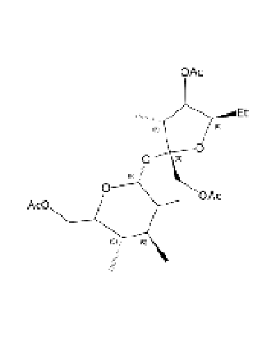 CC[C@H]1O[C@](COC(C)=O)(O[C@H]2OC(COC(C)=O)[C@@H](C)[C@H](C)C2C)[C@H](C)C1OC(C)=O